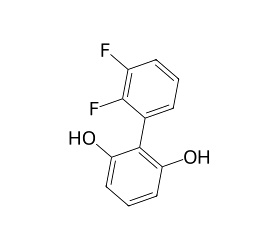 Oc1cccc(O)c1-c1cccc(F)c1F